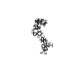 CC(C)(Cn1cc(-c2ccc3c(c2)OCCc2sc(-c4ncnn4CC(F)(F)F)nc2-3)cn1)NC(=O)OC(C)(C)C